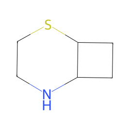 C1CSC2CCC2N1